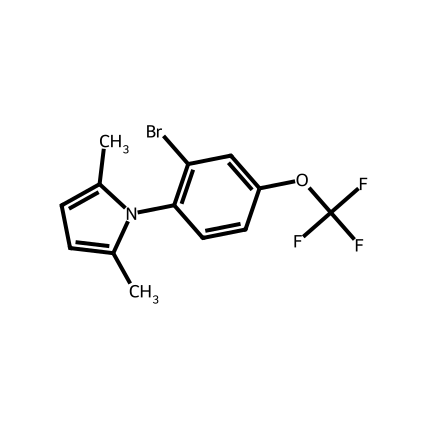 Cc1ccc(C)n1-c1ccc(OC(F)(F)F)cc1Br